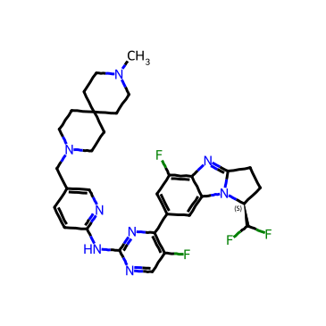 CN1CCC2(CC1)CCN(Cc1ccc(Nc3ncc(F)c(-c4cc(F)c5nc6n(c5c4)[C@H](C(F)F)CC6)n3)nc1)CC2